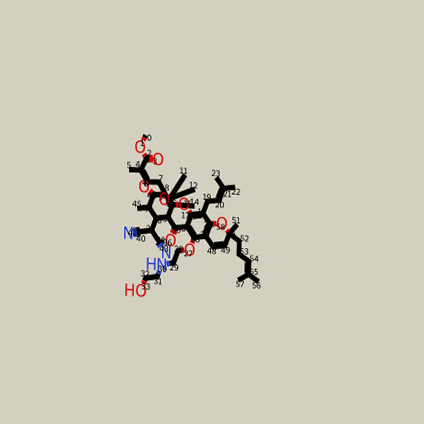 COC(=O)/C(C)=C\CC12OC(C)(C)C(C)C13Oc1c(CC=C(C)C)c4c(c(OCCNCCO)c1C(=O)C3C(C(C#N)C#N)C(C)C2=O)C=CC(C)(CCC=C(C)C)O4